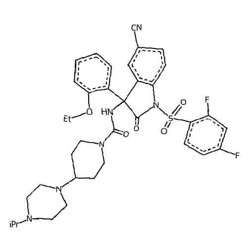 CCOc1ccccc1C1(NC(=O)N2CCC(N3CCN(C(C)C)CC3)CC2)C(=O)N(S(=O)(=O)c2ccc(F)cc2F)c2ccc(C#N)cc21